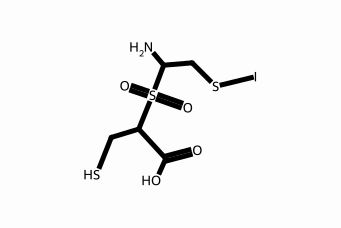 NC(CSI)S(=O)(=O)C(CS)C(=O)O